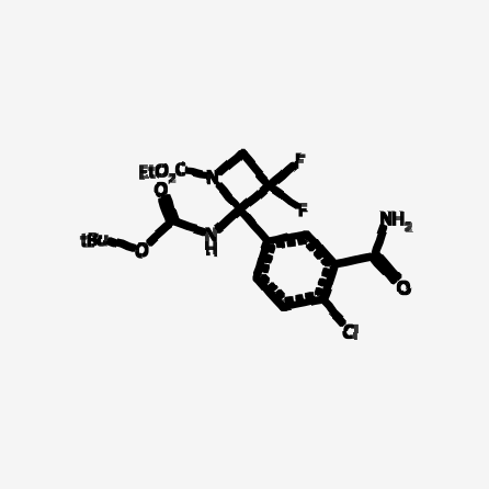 CCOC(=O)N1CC(F)(F)C1(NC(=O)OC(C)(C)C)c1ccc(Cl)c(C(N)=O)c1